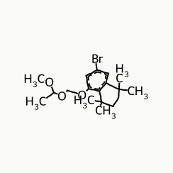 COC(C)OCOc1cc(Br)cc2c1C(C)(C)CCC2(C)C